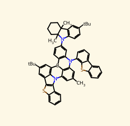 Cc1cc2c3c(c1)-n1c4c(cc(C(C)(C)C)cc4c4sc5ccccc5c41)B3c1ccc(N3c4ccc(C(C)(C)C)cc4C4(C)CCCCC34C)cc1N2c1cccc2c1sc1ccccc12